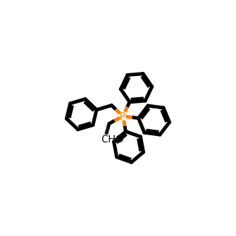 O=CCP(Cc1ccccc1)(c1ccccc1)(c1ccccc1)c1ccccc1